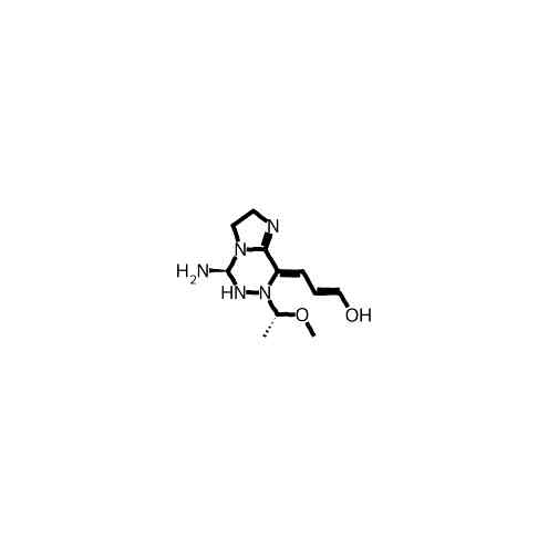 CO[C@H](C)N1N[C@@H](N)N2CCN=C2/C1=C/C=C/O